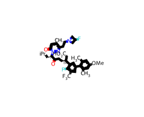 COc1cc(C)c(-c2cc([C@@H](CCC(=O)[C@H](CC(C)C)n3nc(CCN4CC(F)C4)c(C)cc3=O)CC(=O)O)c(F)c(C(F)(F)F)c2)c(C)c1